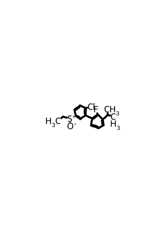 CC[S+]([O-])c1ccc(Cl)c(-c2cccc(C(C)C)c2F)c1